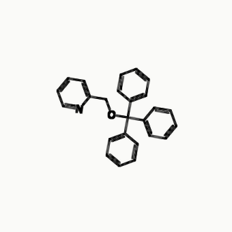 c1ccc(C(OCc2ccccn2)(c2ccccc2)c2ccccc2)cc1